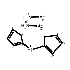 C1=CC[C]([Hf][C]2=CC=CC2)=C1.CC(N)=O.CC(N)=O